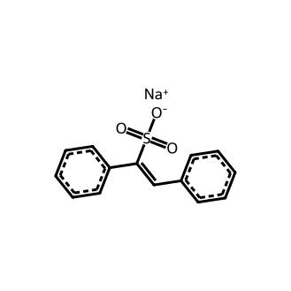 O=S(=O)([O-])C(=Cc1ccccc1)c1ccccc1.[Na+]